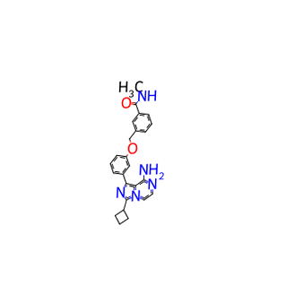 CNC(=O)c1cccc(COc2cccc(-c3nc(C4CCC4)n4ccnc(N)c34)c2)c1